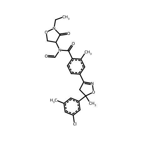 CCN1OCC(N(C=O)C(=O)c2ccc(C3=NOC(C)(c4cc(C)cc(Cl)c4)C3)cc2C)C1=O